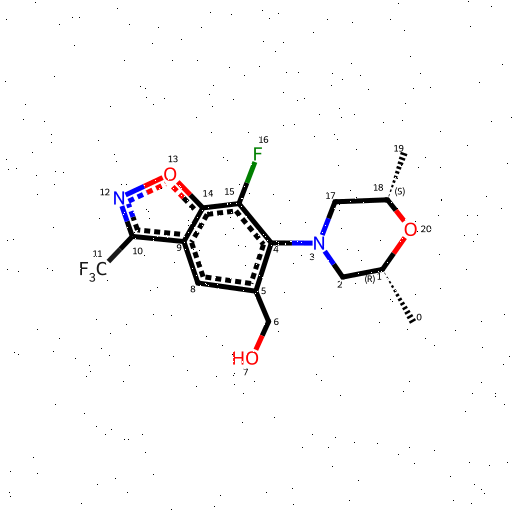 C[C@@H]1CN(c2c(CO)cc3c(C(F)(F)F)noc3c2F)C[C@H](C)O1